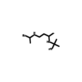 [CH2]C(CCNC(C)C(C)CC)NC(C)(C)CCC